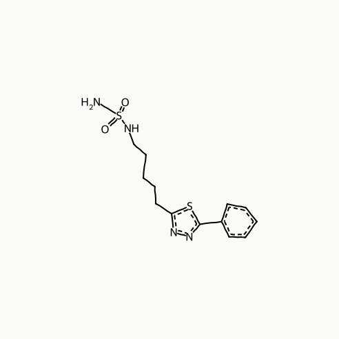 NS(=O)(=O)NCCCCCc1nnc(-c2ccccc2)s1